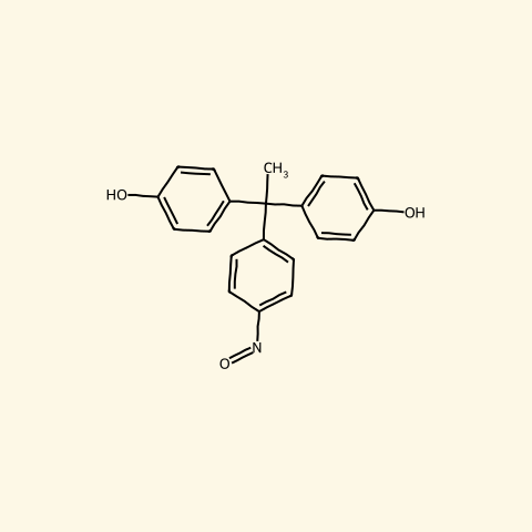 CC(c1ccc(O)cc1)(c1ccc(O)cc1)c1ccc(N=O)cc1